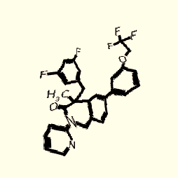 CC1(Cc2cc(F)cc(F)c2)C(=O)N(c2ccccn2)Cc2ccc(-c3cccc(OCC(F)(F)F)c3)cc21